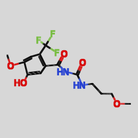 COCCCNC(=O)NC(=O)c1cc(O)c(OC)cc1C(F)(F)F